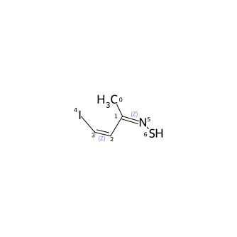 CC(/C=C\I)=N/S